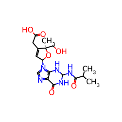 CC(C)C(=O)NC1NC(=O)c2ncn([C@H]3C=C(CC(=O)O)[C@@](C)(CO)O3)c2N1